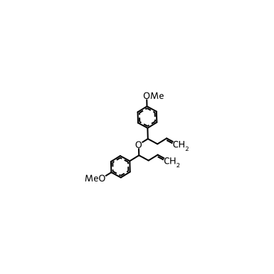 C=CCC(OC(CC=C)c1ccc(OC)cc1)c1ccc(OC)cc1